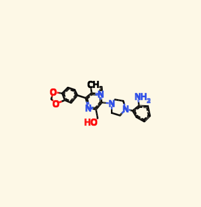 Cc1nc(N2CCN(c3ccccc3N)CC2)c(CO)nc1-c1ccc2c(c1)OCO2